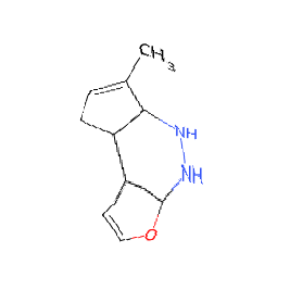 CC1=CCC2C1NNC1OC=CC12